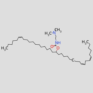 CCCCC/C=C\C/C=C\CCCCCCCCC(CCCCCCCCCCC/C=C\CCCCC)OC(=O)NCCN(C)C